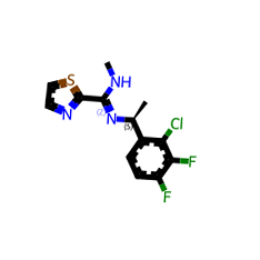 CN/C(=N\[C@@H](C)c1ccc(F)c(F)c1Cl)c1nccs1